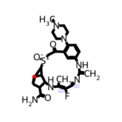 C=C1/N=C\C(F)=C(/C)NC2C3CC(CC3[S+]([O-])CC(=O)c3cc(ccc3N3CCN(C)CC3)N1)C2C(N)=O